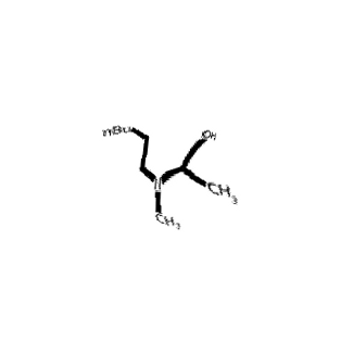 CCCCC[CH]N(C)C(C)O